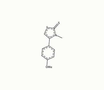 COc1ccc(-c2csc(=S)n2C)cc1